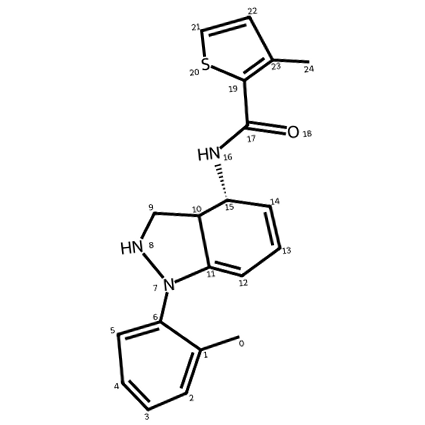 Cc1ccccc1N1NCC2C1=CC=C[C@H]2NC(=O)c1sccc1C